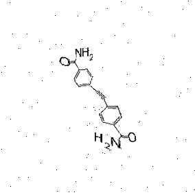 NC(=O)c1ccc(C#Cc2ccc(C(N)=O)cc2)cc1